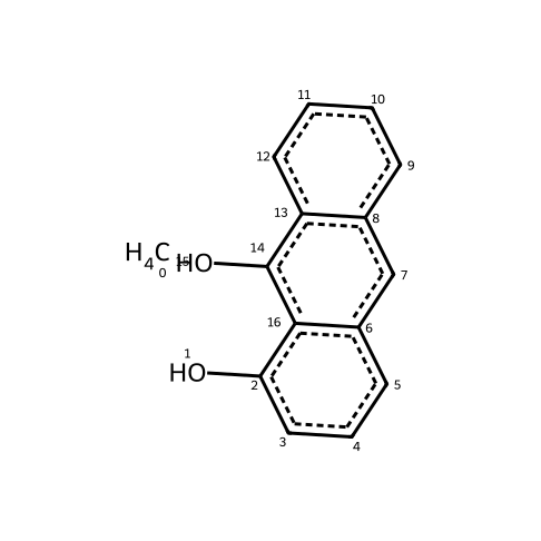 C.Oc1cccc2cc3ccccc3c(O)c12